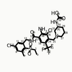 CCS(=O)(=O)c1c(C)cc(Cl)cc1CNC(=O)c1cc(C(F)(F)F)c(CN2CCC[C@@H](NC(=O)O)C2)c(Cl)c1N